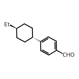 CC[C@H]1CC[C@H](c2ccc(C=O)cc2)CC1